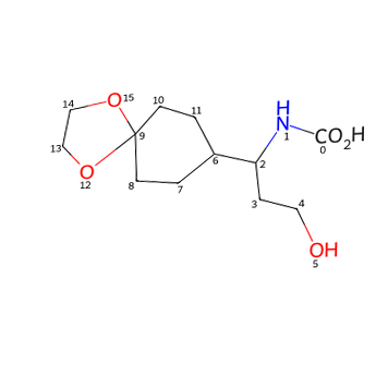 O=C(O)NC(CCO)C1CCC2(CC1)OCCO2